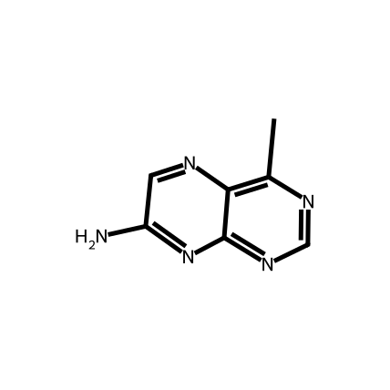 Cc1ncnc2nc(N)cnc12